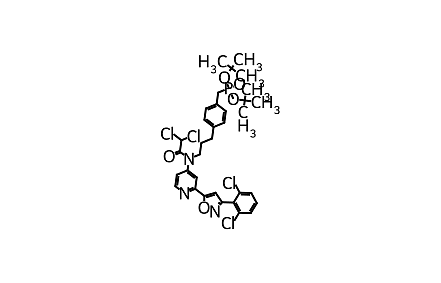 CC(C)(C)OP(=O)(Cc1ccc(CCCN(C(=O)C(Cl)Cl)c2ccnc(-c3cc(-c4c(Cl)cccc4Cl)no3)c2)cc1)OC(C)(C)C